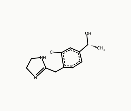 C[C@@H](O)c1ccc(CC2=NCCN2)c(Cl)c1